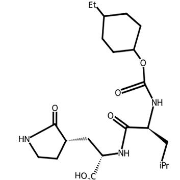 CCC1CCC(OC(=O)N[C@@H](CC(C)C)C(=O)N[C@@H](C[C@@H]2CCNC2=O)C(=O)O)CC1